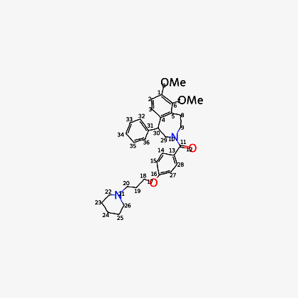 COc1ccc2c(c1OC)CCN(C(=O)c1ccc(OCCCN3CCCCC3)cc1)CC2c1ccccc1